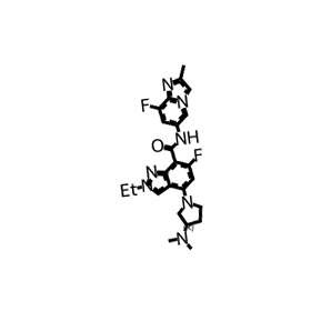 CCn1cc2c(N3CC[C@@H](N(C)C)C3)cc(F)c(C(=O)Nc3cc(F)c4nc(C)cn4c3)c2n1